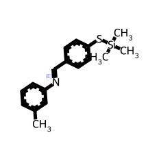 Cc1cccc(/N=C/c2ccc(S[Si](C)(C)C)cc2)c1